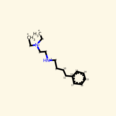 CCN(CC)CCNCCCCc1ccccc1